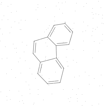 [c]1ccc2c(c1)ccc1ccccc12